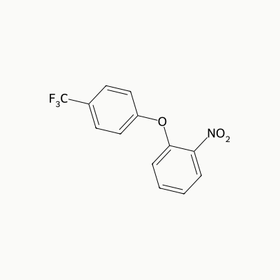 O=[N+]([O-])c1ccccc1Oc1ccc(C(F)(F)F)cc1